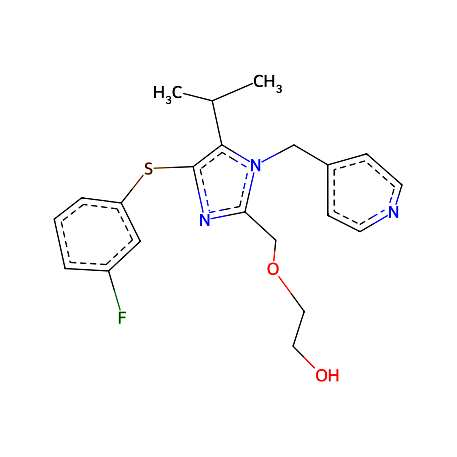 CC(C)c1c(Sc2cccc(F)c2)nc(COCCO)n1Cc1ccncc1